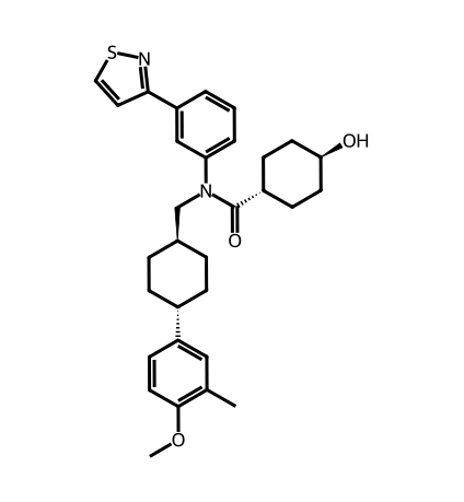 COc1ccc([C@H]2CC[C@H](CN(c3cccc(-c4ccsn4)c3)C(=O)[C@H]3CC[C@H](O)CC3)CC2)cc1C